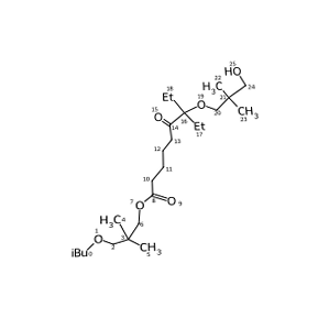 CCC(C)OCC(C)(C)COC(=O)CCCCC(=O)C(CC)(CC)OCC(C)(C)CO